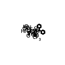 CC(C)(C)OC(=O)NC1C(=O)N2CC(OS(=O)(=O)C(F)(F)F)(C(=O)OC(c3ccccc3)c3ccccc3)CS[C@H]12